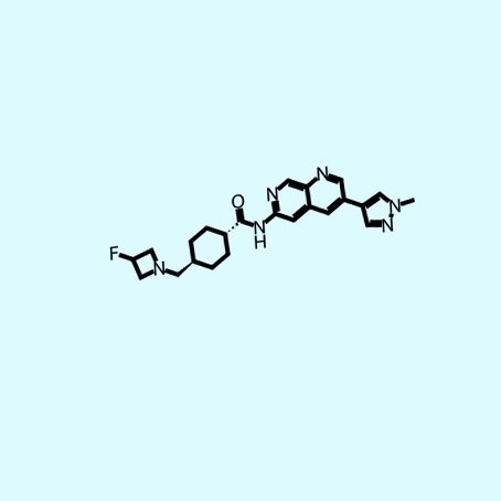 Cn1cc(-c2cnc3cnc(NC(=O)[C@H]4CC[C@H](CN5CC(F)C5)CC4)cc3c2)cn1